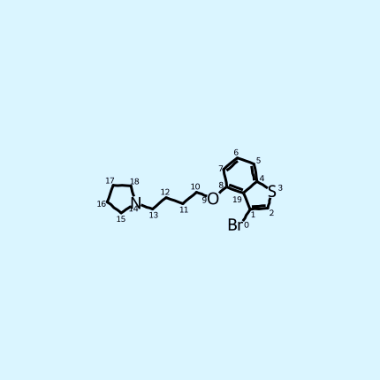 Brc1csc2cccc(OCCCCN3CCCC3)c12